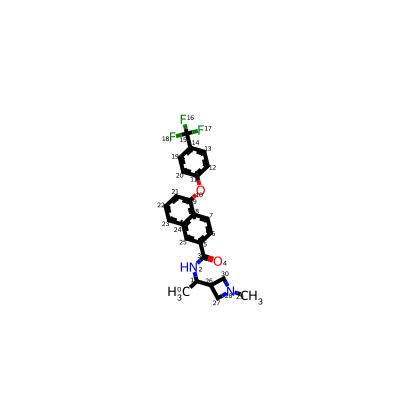 CC(NC(=O)c1ccc2c(Oc3ccc(C(F)(F)F)cc3)cccc2c1)C1CN(C)C1